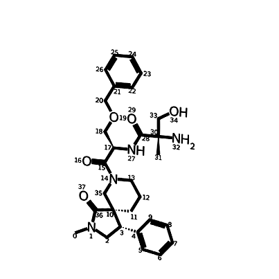 CN1C[C@@H](c2ccccc2)[C@@]2(CCCN(C(=O)[C@@H](COCc3ccccc3)NC(=O)[C@@](C)(N)CO)C2)C1=O